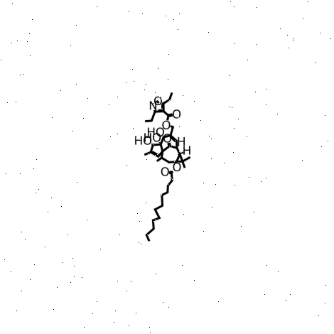 CCCCCCCCCCCC(=O)O[C@@]12CC(C)C34C=C(C)[C@H](O)[C@@]3(O)[C@H](O)C(COC(=O)c3c(CC)noc3CC)=C[C@H](C4=O)[C@@H]1C2(C)C